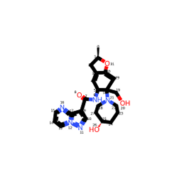 C[C@@H]1CC2=CC(NC(=O)c3cnn4cccnc34)C(CO)(N3CCC[C@H](O)CC3)C=C2O1